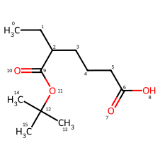 CCC(CCCC(=O)O)C(=O)OC(C)(C)C